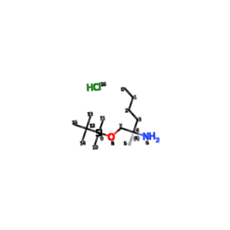 CCCC[C@@](C)(N)CO[Si](C)(C)C(C)(C)C.Cl